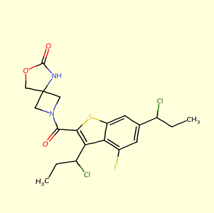 CCC(Cl)c1cc(F)c2c(C(Cl)CC)c(C(=O)N3CC4(COC(=O)N4)C3)sc2c1